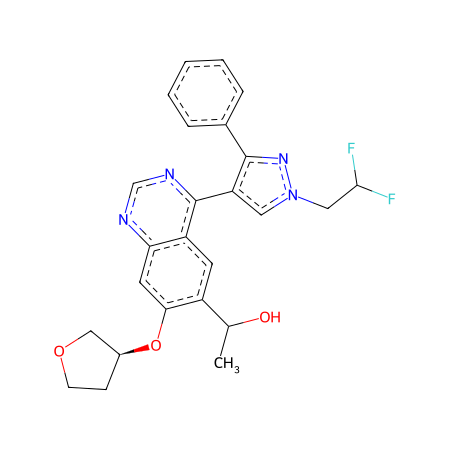 CC(O)c1cc2c(-c3cn(CC(F)F)nc3-c3ccccc3)ncnc2cc1O[C@H]1CCOC1